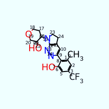 Cc1cc(C(F)(F)F)cc(O)c1-c1cc2c(nn1)N([C@@H]1CCOC[C@@H]1O)CC2